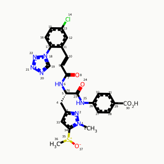 Cn1nc(C[C@H](NC(=O)C=Cc2cc(Cl)ccc2-n2cnnn2)C(=O)Nc2ccc(C(=O)O)cc2)cc1[S+](C)[O-]